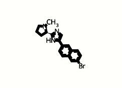 CN1CCC[C@H]1c1ncc(-c2ccc3cc(Br)ccc3c2)[nH]1